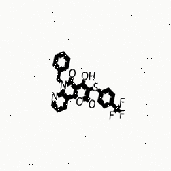 O=c1oc2c(c(O)c1Sc1ccc(C(F)(F)F)cc1)c(=O)n(Cc1ccccc1)c1ncccc21